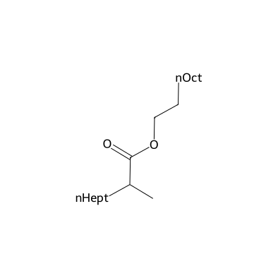 CCCCCCCCCCOC(=O)C(C)CCCCCCC